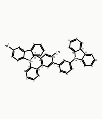 N#Cc1ccc2c(c1)c1ccccc1n2-c1ccccc1-c1cc(-c2cccc(-n3c4ccccc4c4ccccc43)c2)c(C#N)cc1C#N